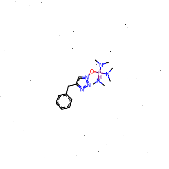 CN(C)[PH](On1cc(Cc2ccccc2)nn1)(N(C)C)N(C)C